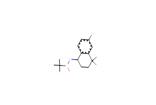 CC(C)(C)[S+]([O-])NC1CCC(F)(F)c2cc(Br)ccc21